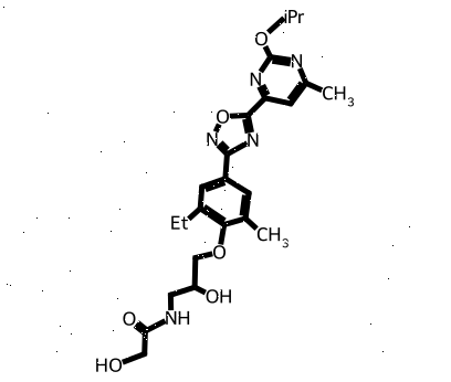 CCc1cc(-c2noc(-c3cc(C)nc(OC(C)C)n3)n2)cc(C)c1OCC(O)CNC(=O)CO